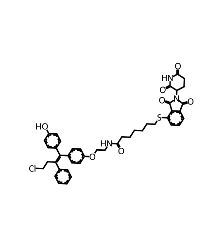 O=C(CCCCCCSc1cccc2c1C(=O)N(C1CCC(=O)NC1=O)C2=O)NCCOc1ccc(C(=C(CCCl)c2ccccc2)c2ccc(O)cc2)cc1